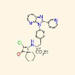 CCOC(=O)[C@H](Cc1ccc(-n2c(-c3cccnc3)nc3cccnc32)cc1)NC1=C(Cl)C(=O)C12CCCCC2